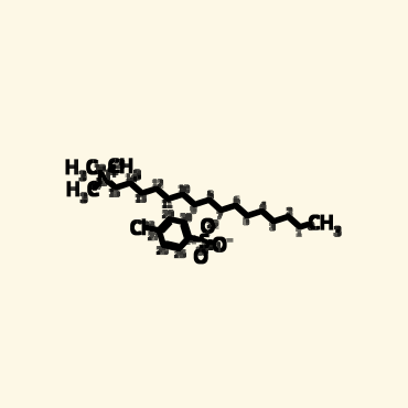 CCCCCCCCCCCCCCCC[N+](C)(C)C.O=S(=O)([O-])c1ccc(Cl)cc1